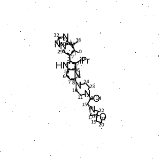 Cc1c(-c2[nH]c3ccc(N4CCN(C(=O)CN5CC6(CCO6)C5)CC4)nc3c2C(C)C)cn2ncnc2c1C